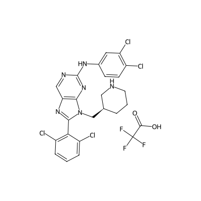 Clc1ccc(Nc2ncc3nc(-c4c(Cl)cccc4Cl)n(C[C@@H]4CCCNC4)c3n2)cc1Cl.O=C(O)C(F)(F)F